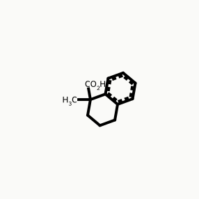 CC1(C(=O)O)CCCc2ccccc21